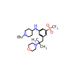 CC(C)(C)N1CCC(Nc2cc(CC(C)(C)N3CCOCC3)cc(S(=O)(=O)C(F)(F)F)c2)CC1